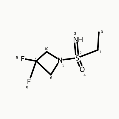 CCS(=N)(=O)N1CC(F)(F)C1